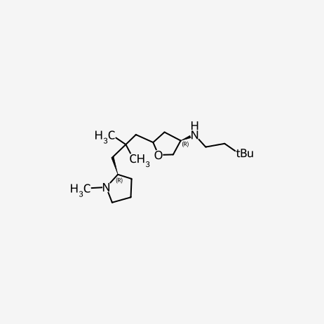 CN1CCC[C@@H]1CC(C)(C)CC1C[C@@H](NCCC(C)(C)C)CO1